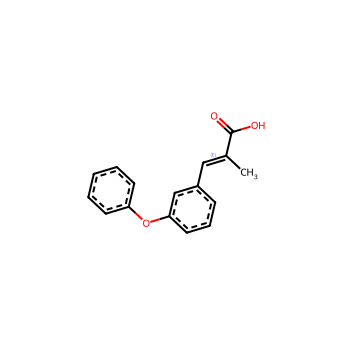 C/C(=C\c1cccc(Oc2ccccc2)c1)C(=O)O